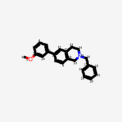 COc1cccc(-c2ccc3c(c2)CCN(Cc2ccccc2)C3)c1